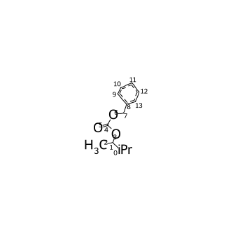 CC(C)C(C)OC(=O)OCc1ccccc1